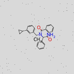 C[C@H](c1cccc(C2CC2)c1)N(C(=O)c1ccccc1)[C@@H](C(N)=O)c1ccccc1